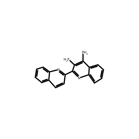 Pc1c(-c2ccc3ccccc3n2)nc2ccccc2c1P